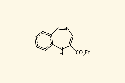 CCOC(=O)C1=CN=Cc2ccccc2N1